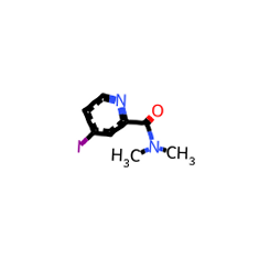 CN(C)C(=O)c1cc(I)ccn1